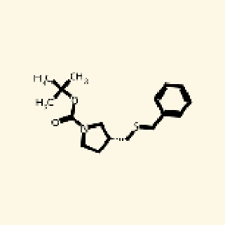 CC(C)(C)OC(=O)N1CC[C@@H](CSCc2ccccc2)C1